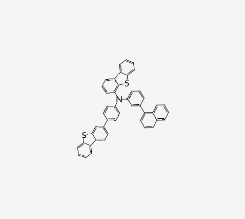 c1cc(-c2cccc3ccccc23)cc(N(c2ccc(-c3ccc4c(c3)sc3ccccc34)cc2)c2cccc3c2sc2ccccc23)c1